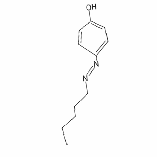 CCCCCN=Nc1ccc(O)cc1